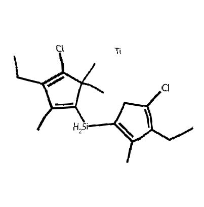 CCC1=C(Cl)CC([SiH2]C2=C(C)C(CC)=C(Cl)C2(C)C)=C1C.[Ti]